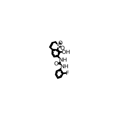 O=C(Nc1ccccc1F)Nc1ccc2c(c1O)S(=O)(=O)CC=C2